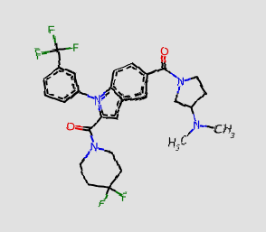 CN(C)C1CCN(C(=O)c2ccc3c(c2)cc(C(=O)N2CCC(F)(F)CC2)n3-c2cccc(C(F)(F)F)c2)C1